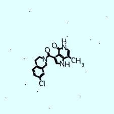 Cc1c[nH]c(=O)c2c(C(=O)N3CCc4ccc(Cl)cc4C3)c[nH]c12